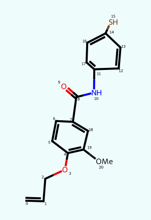 C=CCOc1ccc(C(=O)Nc2ccc(S)cc2)cc1OC